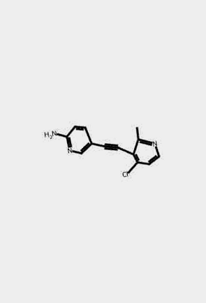 Cc1nccc(Cl)c1C#Cc1ccc(N)nc1